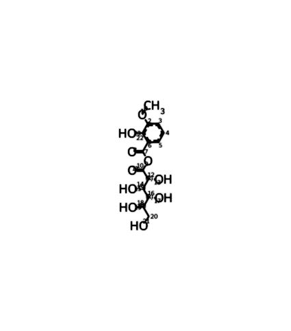 COc1cccc(C(=O)OC(=O)[C@H](O)[C@@H](O)[C@H](O)[C@H](O)CO)c1O